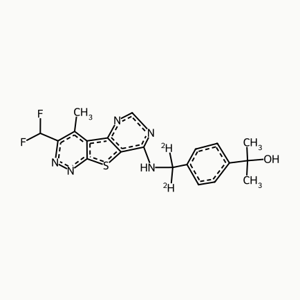 [2H]C([2H])(Nc1ncnc2c1sc1nnc(C(F)F)c(C)c12)c1ccc(C(C)(C)O)cc1